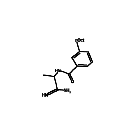 CCCCCCCCc1cccc(C(=O)NC(C)C(=N)N)c1